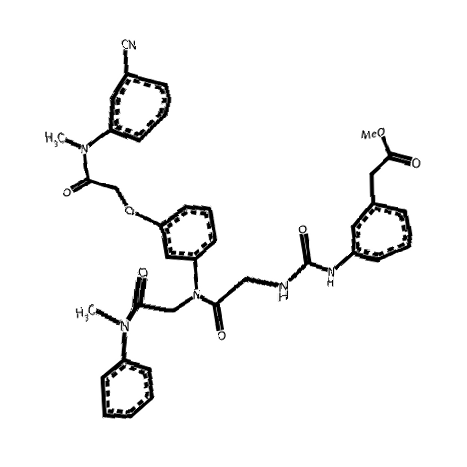 COC(=O)Cc1cccc(NC(=O)NCC(=O)N(CC(=O)N(C)c2ccccc2)c2cccc(OCC(=O)N(C)c3cccc(C#N)c3)c2)c1